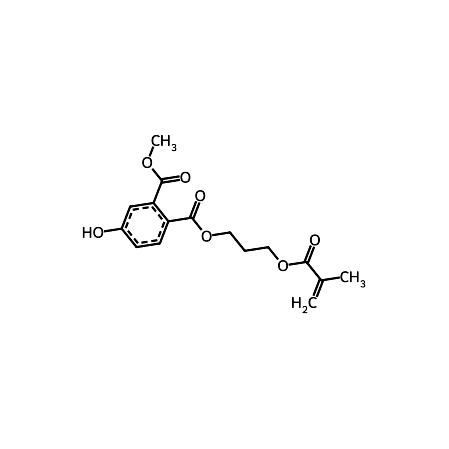 C=C(C)C(=O)OCCCOC(=O)c1ccc(O)cc1C(=O)OC